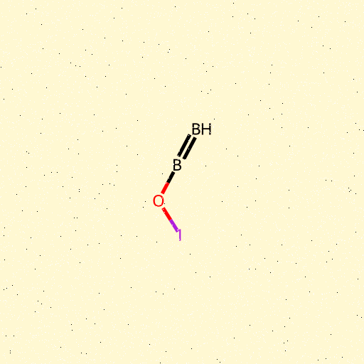 B=BOI